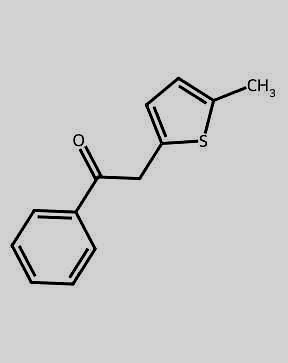 Cc1ccc(CC(=O)c2ccccc2)s1